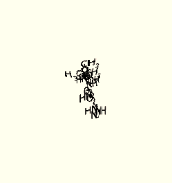 Cc1cc(C)c(S(=O)(=O)NC(CNC(=O)CC2CC(CCCNC3N=CCCN3)ON2)C(=O)O)c(C)c1